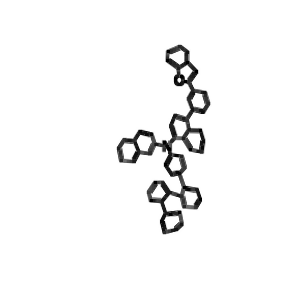 c1ccc(-c2ccccc2-c2ccccc2-c2ccc(N(c3ccc4ccccc4c3)c3ccc(-c4cccc(-c5cc6ccccc6o5)c4)c4ccccc34)cc2)cc1